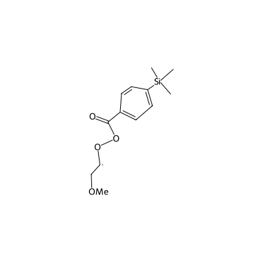 COC[CH]OOC(=O)c1ccc([Si](C)(C)C)cc1